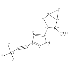 C[Si](C)(C)C#Cc1c[nH]c(C2CC3CC3N2C(=O)O)n1